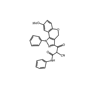 COc1ccc2c(c1)-c1c(c(C(=O)C(C#N)C(=O)Nc3ccccc3)nn1-c1ccccc1)CO2